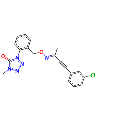 C/C(C#Cc1cccc(Cl)c1)=N\OCc1ccccc1-n1nnn(C)c1=O